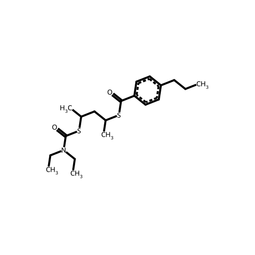 CCCc1ccc(C(=O)SC(C)CC(C)SC(=O)N(CC)CC)cc1